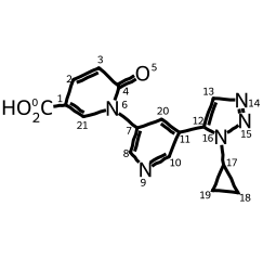 O=C(O)c1ccc(=O)n(-c2cncc(-c3cnnn3C3CC3)c2)c1